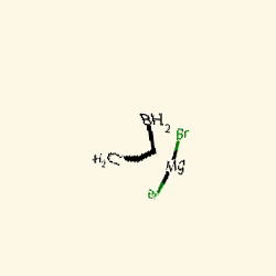 BC[CH2].[Br][Mg][Br]